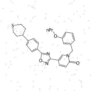 CCCOc1cccc(Cn2cc(-c3noc(-c4ccc(C5CCSCC5)cc4)n3)ccc2=O)c1